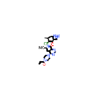 C=CC(=O)N1CCN(c2ncnc3c(Oc4c(Cl)c(C)cc5[nH]ncc45)nc(C#N)cc23)CC1